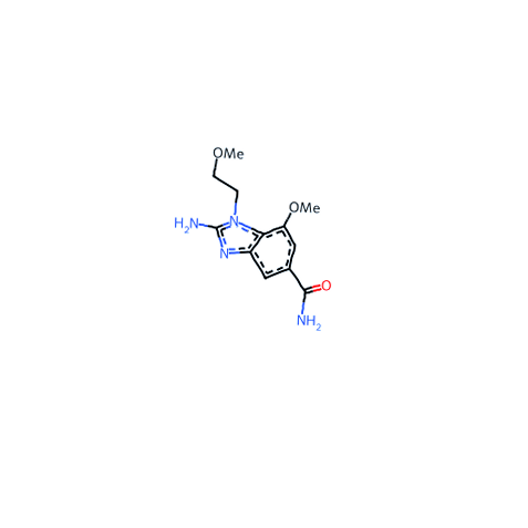 COCCn1c(N)nc2cc(C(N)=O)cc(OC)c21